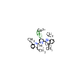 CCCc1cccc(CCC)c1N=C(C)c1cc(Cl)cc(C(C)=Nc2c(CCC)cccc2CCC)n1.[Cl-].[Cl-].[Cl-].[Co+3]